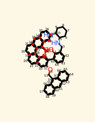 Oc1c(CNC2CCCC[C@@H]2NCc2cccc(-c3ccccc3OCc3c4ccccc4cc4ccccc34)c2O)cccc1-c1ccccc1OCc1c2ccccc2cc2ccccc12